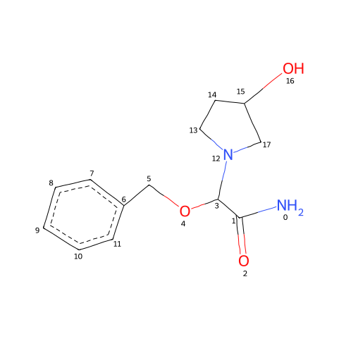 NC(=O)C(OCc1ccccc1)N1CCC(O)C1